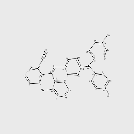 C#Cc1ccccc1C(=Cc1ccc(N(c2ccc(C)cc2)c2ccc(C)cc2)cc1)c1ccccc1C